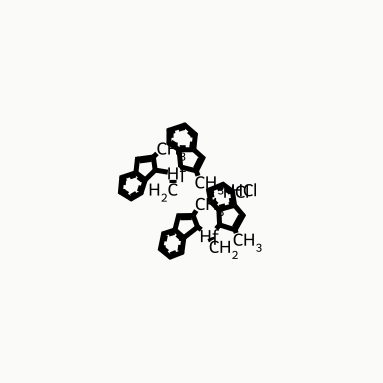 Cl.Cl.[CH2]=[Hf]([CH]1C(C)=Cc2ccccc21)[CH]1C(C)=Cc2ccccc21.[CH2]=[Hf]([CH]1C(C)=Cc2ccccc21)[CH]1C(C)=Cc2ccccc21